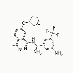 Cc1nnc(N[C@H](N)c2cc(N)cc(C(F)(F)F)c2)c2cc(O[C@H]3CCOC3)ccc12